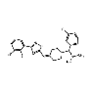 CN(C)C(c1cccc(F)c1)C1CCC(=Cc2nc(-c3cccc(Cl)c3Cl)no2)CC1